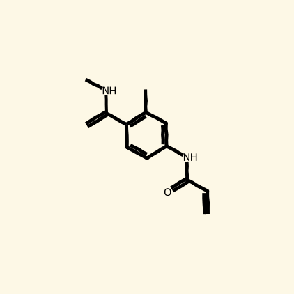 C=CC(=O)Nc1ccc(C(=C)NC)c(C)c1